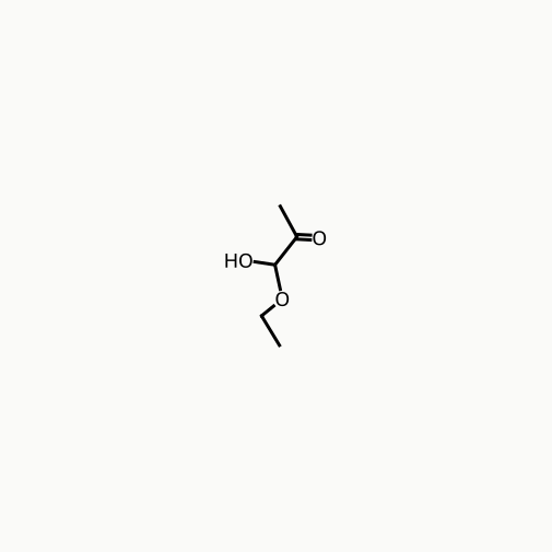 CCOC(O)C(C)=O